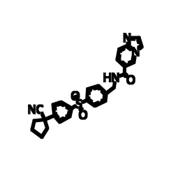 N#CC1(c2ccc(S(=O)(=O)c3ccc(CNC(=O)c4ccc5nccn5c4)cc3)cc2)CCCC1